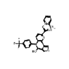 C[C@H](NC(=O)c1ccc2c(n1)-c1cscc1C(O)N2c1ccc(C(F)(F)F)cc1)c1ccccn1